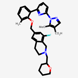 COc1c(C(=O)O)cnn1-c1cccc(-c2cccc(C)c2OCc2cc(F)c3c(c2)CCN(CC2CCCCO2)C3)n1